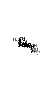 CC(C)CCCC(C)C1CCC2C3CC=C4CC(OP(=O)(O)OCC[N+](C)(C)C)CCC4(C)C3CCC12C